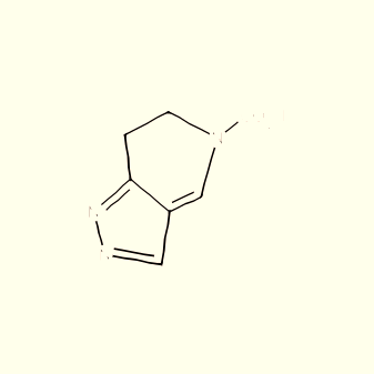 O=C(O)N1C=C2C=NN=C2CC1